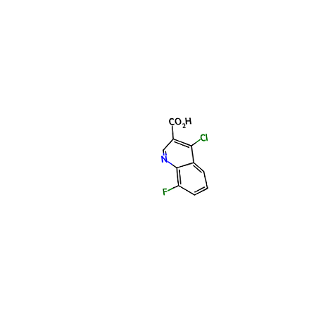 O=C(O)c1cnc2c(F)cccc2c1Cl